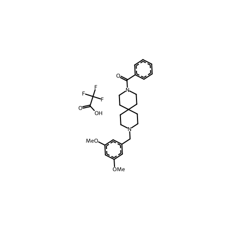 COc1cc(CN2CCC3(CC2)CCN(C(=O)c2ccccc2)CC3)cc(OC)c1.O=C(O)C(F)(F)F